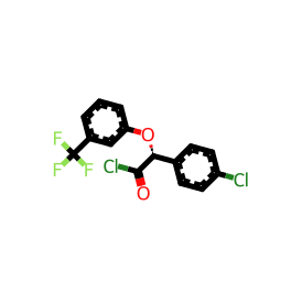 O=C(Cl)[C@H](Oc1cccc(C(F)(F)F)c1)c1ccc(Cl)cc1